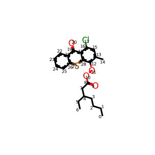 CCCCC(CC)CC(=O)OOc1c(C)cc(Cl)c2c(=O)c3ccccc3sc12